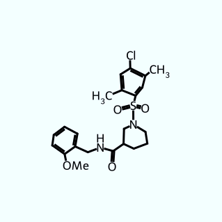 COc1ccccc1CNC(=O)C1CCCN(S(=O)(=O)c2cc(C)c(Cl)cc2C)C1